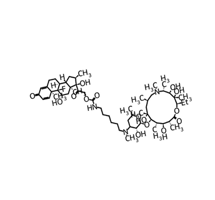 CC[C@H]1OC(=O)[C@H](C)[C@@H](O)[C@H](C)[C@@H](O[C@@H]2O[C@H](C)CC(N(C)CCCCCCNC(=O)OCC(=O)[C@@]3(O)[C@H](C)C[C@H]4[C@@H]5CCC6=CC(=O)C=C[C@]6(C)[C@@]5(F)[C@@H](O)C[C@@]43C)[C@H]2O)[C@](C)(O)C[C@@H](C)CN(C)[C@H](C)[C@@H](O)[C@]1(C)O